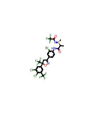 CC(C(=O)Nc1ccc(C2=NOC(c3cc(Cl)c(Cl)c(C(F)(F)F)c3)(C(F)(F)F)C2)cc1Br)S(C)=NC(=O)C(F)(F)F